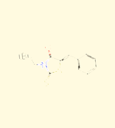 CC(C)(C)CN1C(=O)/C(=C/c2ccccc2)SC1=S